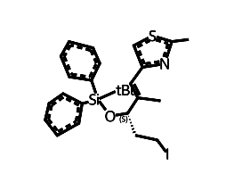 CC(=Cc1csc(C)n1)[C@H](CCI)O[Si](c1ccccc1)(c1ccccc1)C(C)(C)C